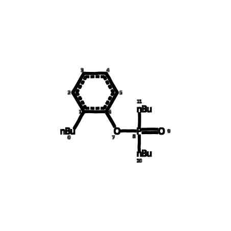 CCCCc1ccccc1OP(=O)(CCCC)CCCC